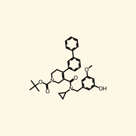 COc1cc(O)cc(CN(C(=O)C2=C(c3cccc(-c4ccccc4)c3)CCN(C(=O)OC(C)(C)C)C2)C2CC2)c1